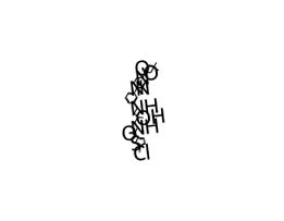 CC(C)(C)OC(=O)N1C=NN(c2cccc(NCC(O)CNC(=O)c3ccc(Cl)s3)c2)CC1